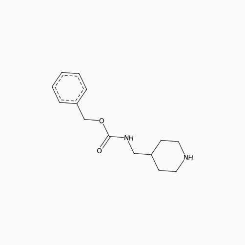 O=C(NCC1CCNCC1)OCc1ccccc1